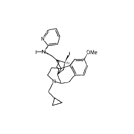 COc1ccc2c(c1)C13CCN(CC4CC4)C(C2)C12CCC(N(I)c1ccccn1)C3[C@@H](I)C2